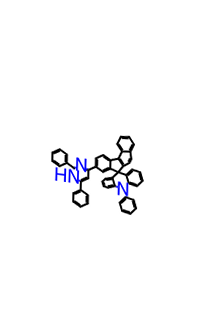 C1=C(c2ccccc2)NC(c2ccccc2)N=C1c1ccc2c(c1)C1(c3ccccc3N(c3ccccc3)c3ccccc31)c1ccc3ccccc3c1-2